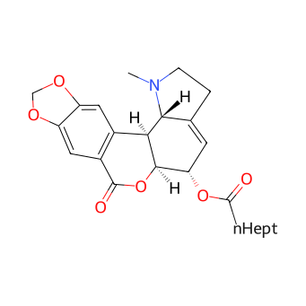 CCCCCCCC(=O)O[C@H]1C=C2CCN(C)[C@H]2[C@@H]2c3cc4c(cc3C(=O)O[C@@H]21)OCO4